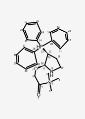 C[Si](C)(C)C(=O)CO[C@@H]1NCC[C@@H]1[PH](c1ccccc1)(c1ccccc1)c1ccccc1